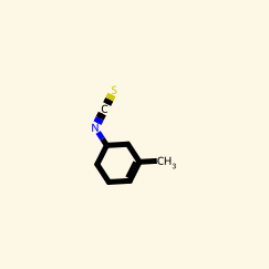 CC1=CCCC(N=C=S)C1